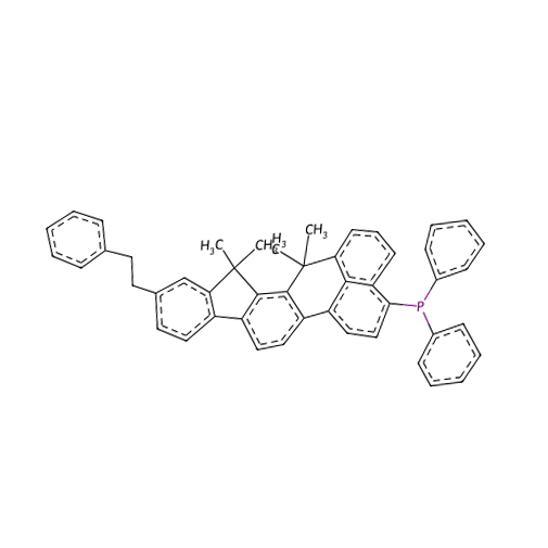 CC1(C)c2cc(CCc3ccccc3)ccc2-c2ccc3c(c21)C(C)(C)c1cccc2c(P(c4ccccc4)c4ccccc4)ccc-3c12